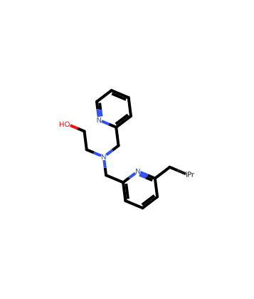 CC(C)Cc1cccc(CN(CCO)Cc2ccccn2)n1